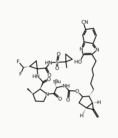 C=C1[C@H]2[C@@H]1CC(OC(=O)N[C@H](C(=O)N1CC[C@@H](C)[C@H]1C(=O)NC1(C(=O)NS(=O)(=O)C3(C)CC3)C[C@H]1C(F)F)C(C)(C)C)[C@@H]2CCCCCc1nc2ccc(C#N)cc2nc1O